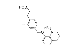 CCCCN1CCCc2cccc(OCc3ccc(CCC(=O)O)c(F)c3)c21